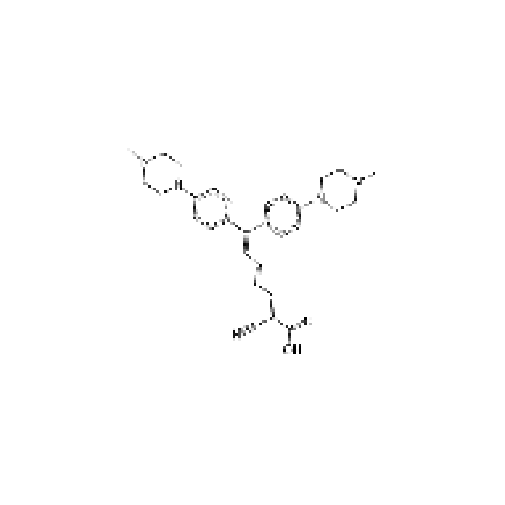 CN1CCN(c2ccc(C(=C/C=C/C=C(\C#N)C(=O)O)c3ccc(N4CCN(C)CC4)cc3)cc2)CC1